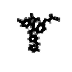 O=C(O)CCc1cccc(C(Nc2ccc(Cn3ccnc3)cc2)=C2C(=O)Nc3cc(F)ccc32)c1